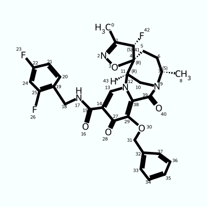 CC1=NO[C@@]2(CC[C@H](C)N3C[C@H]2n2cc(C(=O)NCc4ccc(F)cc4F)c(=O)c(OCc4ccccc4)c2C3=O)[C@H]1F